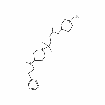 CN(CCC(C)(C)N1CCC(N(C)CCc2ccccc2)CC1)CC1CCN(C(C)(C)C)CC1